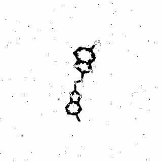 Cc1ccc2sc(SSc3nc4cc(C(F)(F)F)ccc4s3)nc2c1